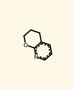 [CH]1CCc2cccnc2O1